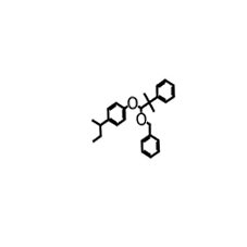 CCC(C)c1ccc(OC(OCc2ccccc2)C(C)(C)c2ccccc2)cc1